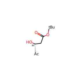 CC(=O)[C@H](O)CC(=O)OC(C)(C)C